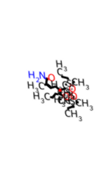 CCC[Si](C)(C)O[Si](CCCC=C(C)C(N)=O)(O[Si](C)(C)CCC)O[Si](C)(C)CCC